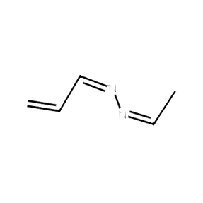 C=C/C=N\N=C/C